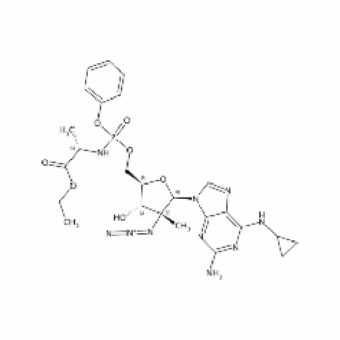 CCOC(=O)[C@H](C)NP(=O)(OC[C@H]1O[C@@H](n2cnc3c(NC4CC4)nc(N)nc32)[C@](C)(N=[N+]=[N-])[C@@H]1O)Oc1ccccc1